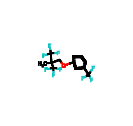 CC(COc1cccc(C(F)(F)F)c1)(C(F)(F)F)C(F)(F)F